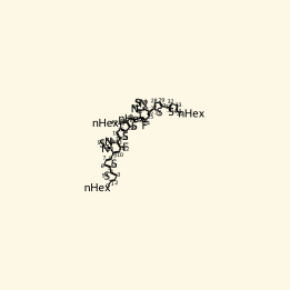 CCCCCCc1ccc(-c2ccc(-c3cc(F)c(-c4cc5c(s4)-c4sc(-c6c(F)cc(-c7ccc(-c8ccc(CCCCCC)s8)s7)c7nsnc67)cc4C5(CCCCCC)CCCCCC)c4nsnc34)s2)s1